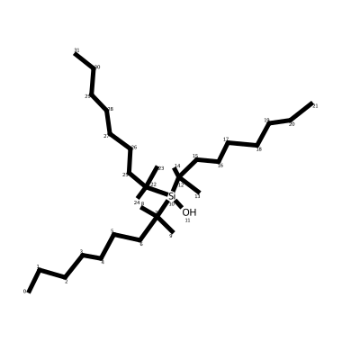 CCCCCCCC(C)(C)[Si](O)(C(C)(C)CCCCCCC)C(C)(C)CCCCCCC